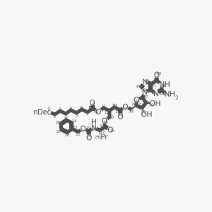 CCCCCCCCCCCCCCCCCC(=O)OCC(COC(=O)[C@@H](NC(=O)OCc1ccccc1)C(C)C)CC(=O)OC[C@H]1OC(n2cnc3c(=O)[nH]c(N)nc32)[C@@H](O)[C@@H]1O